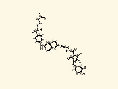 Cc1c(C(=O)NCC#Cc2ccc3nc(Nc4ccc(C(=O)NCCCN(C)C)cc4)ncc3c2)c(=O)n(Cc2ccc(F)c(F)c2)n1C